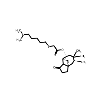 C[C@H]1CC23CCCC(C2C(=O)CC3)[C@H](OC(=O)CSCCCCCN(C)C)CC1(C)C